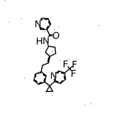 O=C(NC1CCC(=CCc2cccc(C3(c4ccc(C(F)(F)F)cn4)CC3)c2)C1)c1cccnc1